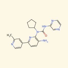 Cc1cc(-c2ccc(N)c(N(C(=O)Nc3cnccn3)C3CCCC3)n2)ccn1